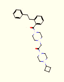 O=C(CN1CCN(C(=O)c2ccccc2CCc2ccccc2)CC1)N1CCN(C2CCC2)CC1